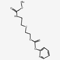 CC(C)(C)OC(=O)NCCOCCOC(=S)Oc1ccccn1